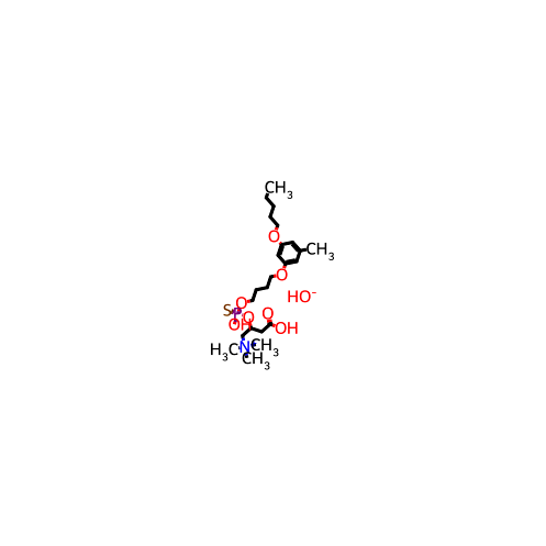 CCCCCOc1cc(C)cc(OCCCCOP(O)(=S)OC(CC(=O)O)C[N+](C)(C)C)c1.[OH-]